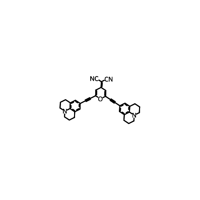 N#CC(C#N)=C1C=C(C#Cc2cc3c4c(c2)CCCN4CCC3)OC(C#Cc2cc3c4c(c2)CCCN4CCC3)=C1